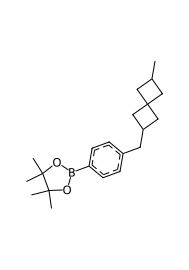 CC1CC2(C1)CC(Cc1ccc(B3OC(C)(C)C(C)(C)O3)cc1)C2